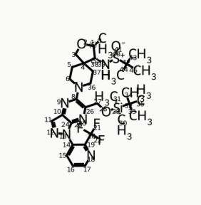 C[C@@H]1OCC2(CCN(c3nc4cnn(-c5cccnc5C(F)(F)F)c4nc3CO[Si](C)(C)C(C)(C)C)CC2)[C@@H]1N[S+]([O-])C(C)(C)C